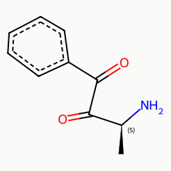 C[C@H](N)C(=O)C(=O)c1ccccc1